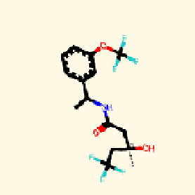 CC(NC(=O)C[C@@](C)(O)CC(F)(F)F)c1cccc(OC(F)(F)F)c1